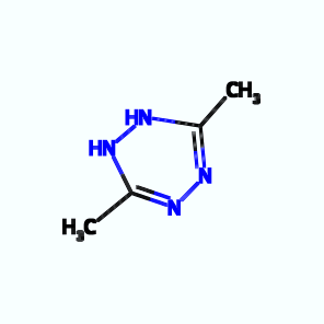 CC1=NN=C(C)NN1